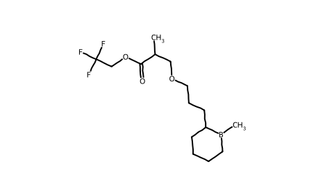 CB1CCCCC1CCCOCC(C)C(=O)OCC(F)(F)F